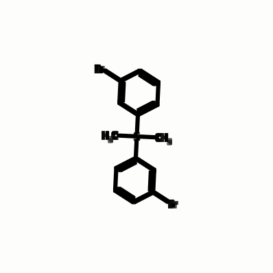 CS(C)(c1cccc(Br)c1)c1cccc(Br)c1